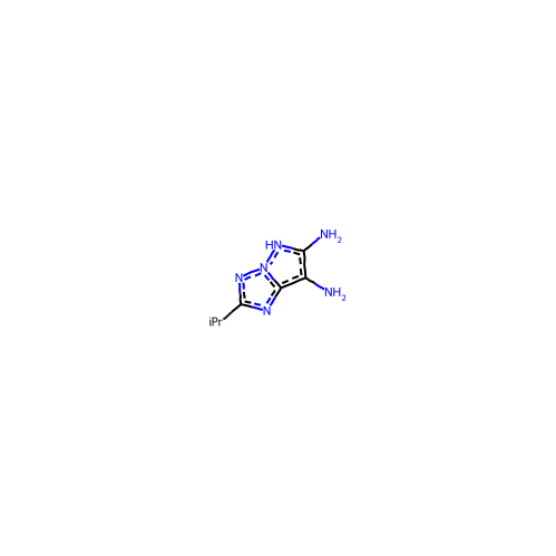 CC(C)c1nc2c(N)c(N)[nH]n2n1